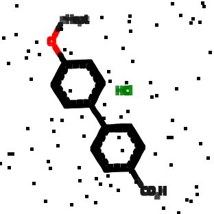 CCCCCCCOc1ccc(-c2ccc(C(=O)O)cc2)cc1.Cl